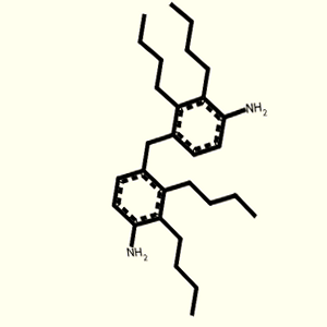 CCCCc1c(N)ccc(Cc2ccc(N)c(CCCC)c2CCCC)c1CCCC